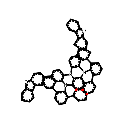 Clc1cc2c3c(c1)N(c1c(-c4ccccc4)cccc1-c1ccccc1)c1cc(-c4ccc5oc6ccccc6c5c4)ccc1B3c1ccc(-c3ccc4oc5ccccc5c4c3)cc1N2c1c(-c2ccccc2)cccc1-c1ccccc1